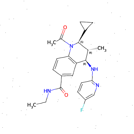 CCNC(=O)c1ccc2c(c1)[C@H](Nc1ccc(F)cn1)[C@@H](C)[C@H](C1CC1)N2C(C)=O